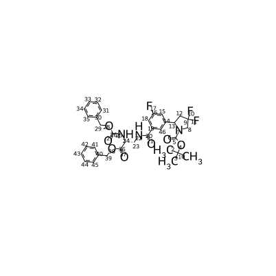 CC(C)(C)OC(=O)N1CC(F)(F)CC1c1cc(F)cc(C(=O)NC[C@@H](NC(=O)OCc2ccccc2)C(=O)OCc2ccccc2)c1